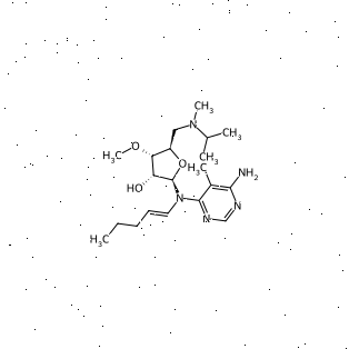 CCC/C=C/N(c1ncnc(N)c1C)[C@@H]1O[C@H](CN(C)C(C)C)[C@@H](OC)[C@H]1O